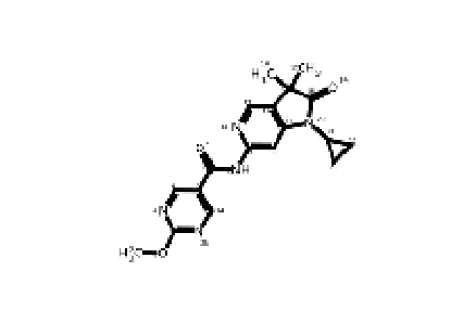 COc1ncc(C(=O)Nc2cc3c(cn2)C(C)(C)C(=O)N3C2CC2)cn1